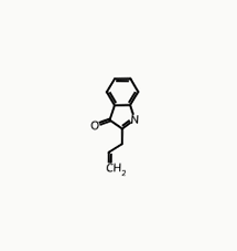 C=CCC1=Nc2ccccc2C1=O